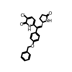 O=C1CC[C@H](/C=C(/c2ccc(OCc3ccccc3)cc2)c2ccc(Cl)c(=O)[nH]2)N1